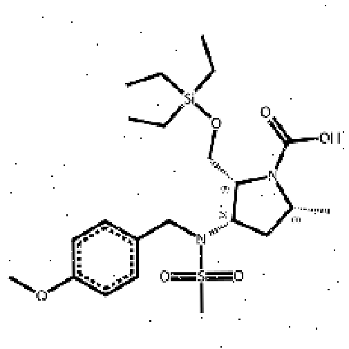 CC[Si](CC)(CC)OC[C@H]1[C@@H](N(Cc2ccc(OC)cc2)S(C)(=O)=O)C[C@@H](C)N1C(=O)O